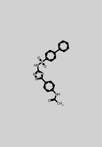 CC(=O)Nc1ccc(-c2nnc(NS(=O)(=O)c3ccc(-c4ccccc4)cc3)s2)cc1